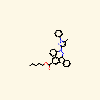 CCCCCOC(=O)c1ccc2c(c1)-c1ccccc1/C2=N/N(c1ccccc1)c1cc(C)n(-c2ccccc2)n1